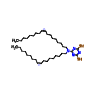 CCCCCCCC/C=C\CCCCCCCCN(CCCCCCCC/C=C\CCCCCCCC)c1nc(S)nc(S)n1